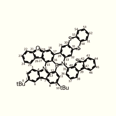 CC(C)(C)c1ccc2c(c1)c1cc(C(C)(C)C)cc3c1n2-c1c2c(cc4oc5ccccc5c14)-c1cc4c(cc1N(c1cccc5c1sc1ccccc15)B23)Sc1ccccc1S4